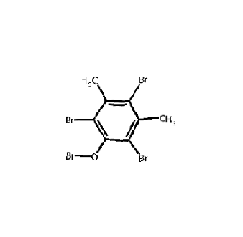 Cc1c(Br)c(C)c(Br)c(OBr)c1Br